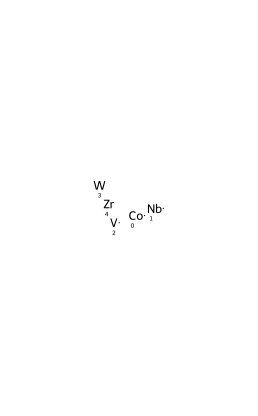 [Co].[Nb].[V].[W].[Zr]